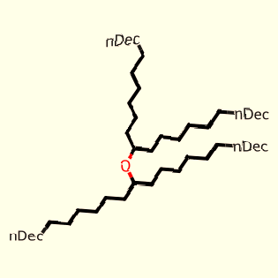 CCCCCCCCCCCCCCCCC(CCCCCCCCCCCCCCCC)OC(CCCCCCCCCCCCCCCC)CCCCCCCCCCCCCCCC